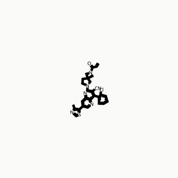 C=CC(=O)N1CC2(CCN(c3nc4cc(-c5scnc5C)cnc4c(-c4ccccc4Cl)c3C#N)C2)C1